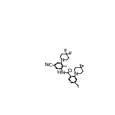 Cc1c(NC(=O)c2ccc(I)cc2N2CCC3(CC2)CC3)cc(C#N)cc1N1CCC(F)(F)CC1